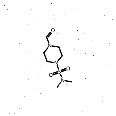 CN(C)S(=O)(=O)N1CCN(C=O)CC1